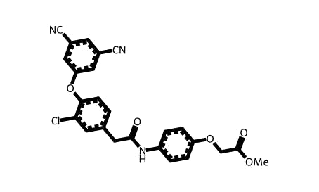 COC(=O)COc1ccc(NC(=O)Cc2ccc(Oc3cc(C#N)cc(C#N)c3)c(Cl)c2)cc1